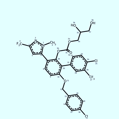 Cn1nc(C(F)(F)F)cc1-c1ccc(OCc2ccc(Cl)cc2)c(-c2ccc(Cl)c(C(F)(F)F)c2)c1OC(=O)OCC(O)CO